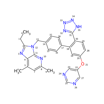 CCc1nc2c(C)cc(C)nc2n1Cc1ccc(-c2cc(Oc3cncnc3)ccc2-c2nnn[nH]2)cc1